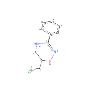 ClCC1CNC(c2ccccc2)=NO1